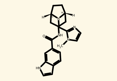 Cn1ccnc1CN1[C@@H]2CC[C@H]1CC(NC(=O)c1ccc3cc[nH]c3c1)C2